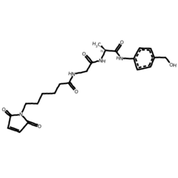 C[C@H](NC(=O)CNC(=O)CCCCCN1C(=O)C=CC1=O)C(=O)Nc1ccc(CO)cc1